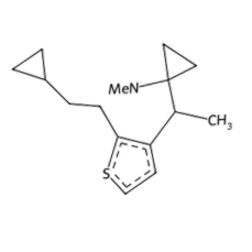 CNC1(C(C)c2ccsc2CCC2CC2)CC1